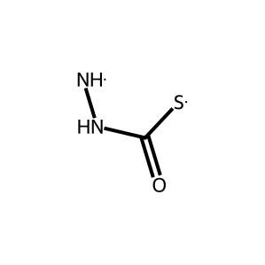 [NH]NC(=O)[S]